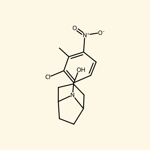 Cc1c([N+](=O)[O-])ccc(N2C3CCC2CC(O)C3)c1Cl